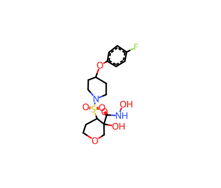 O=C(NO)C1(O)COCCC1S(=O)(=O)N1CCC(Oc2ccc(F)cc2)CC1